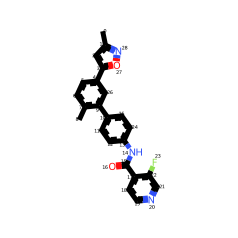 Cc1cc(-c2ccc(C)c(-c3ccc(NC(=O)c4ccncc4F)cc3)c2)on1